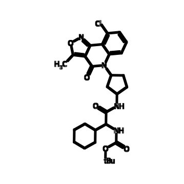 Cc1onc2c1c(=O)n(C1CCC(NC(=O)C(NC(=O)OC(C)(C)C)C3CCCCC3)C1)c1cccc(Cl)c21